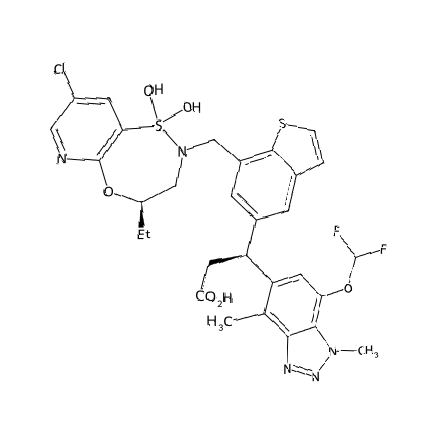 CC[C@@H]1CN(Cc2cc([C@H](CC(=O)O)c3cc(OC(F)F)c4c(nnn4C)c3C)cc3ccsc23)S(O)(O)c2cc(Cl)cnc2O1